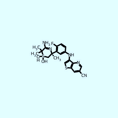 CC1(C)C(N)=N[C@](C)(c2cc(Nc3csc4cc(C#N)cnc34)ccc2F)CS1(O)O